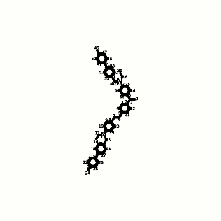 C=C(c1ccc(CCc2ccc(N(CC)Cc3ccc(-c4ccc(C)cc4)cc3)cc2)cc1)c1ccc(N(CC)Cc2ccc(-c3ccc(C)cc3)cc2)cc1